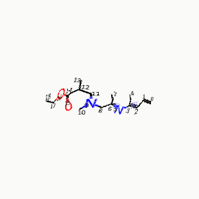 C=C/C=C(C)/N=C(\C)CN(C)CC(C)C(=O)OCC